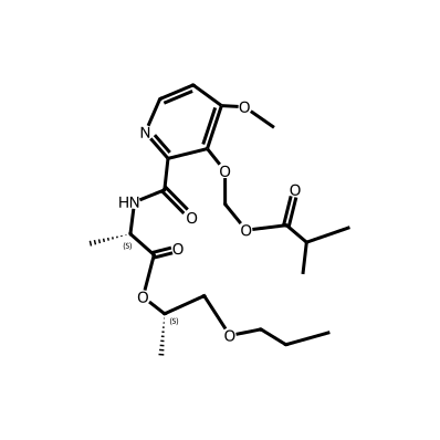 CCCOC[C@H](C)OC(=O)[C@H](C)NC(=O)c1nccc(OC)c1OCOC(=O)C(C)C